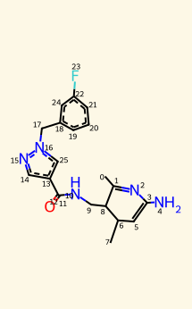 CC1=NC(N)=CC(C)C1CNC(=O)c1cnn(Cc2cccc(F)c2)c1